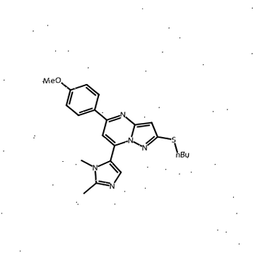 CCCCSc1cc2nc(-c3ccc(OC)cc3)cc(-c3cnc(C)n3C)n2n1